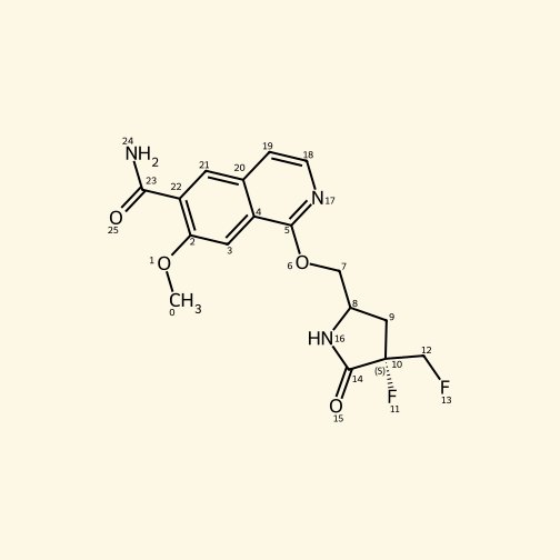 COc1cc2c(OCC3C[C@@](F)(CF)C(=O)N3)nccc2cc1C(N)=O